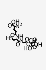 CC(OC(=O)CNC(=O)C(CS)NC(=O)CCC(N)C(=O)O)(C(=O)O)C(=O)O